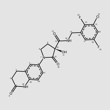 O=C1CCc2cc(N3CC[C@](O)(C(=O)NCc4cc(F)cc(Cl)c4F)C3=O)ccc2N1